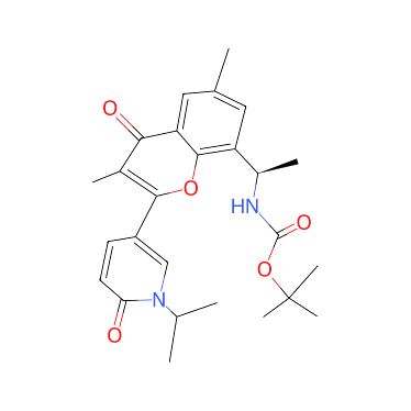 Cc1cc([C@@H](C)NC(=O)OC(C)(C)C)c2oc(-c3ccc(=O)n(C(C)C)c3)c(C)c(=O)c2c1